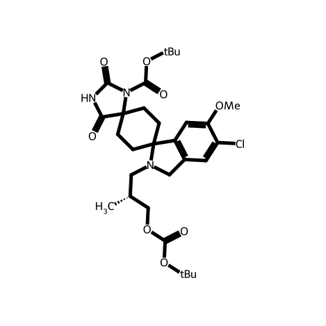 COc1cc2c(cc1Cl)CN(C[C@@H](C)COC(=O)OC(C)(C)C)C21CCC2(CC1)C(=O)NC(=O)N2C(=O)OC(C)(C)C